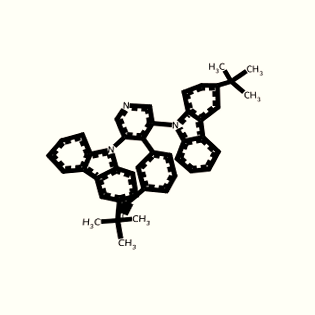 CC(C)(C)c1ccc2c(c1)c1ccccc1n2-c1cncc(-n2c3ccccc3c3cc(C(C)(C)C)ccc32)c1-c1cccc(C#N)c1